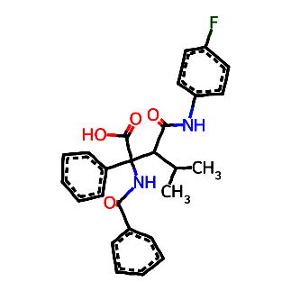 CC(C)C(C(=O)Nc1ccc(F)cc1)C(NC(=O)c1ccccc1)(C(=O)O)c1ccccc1